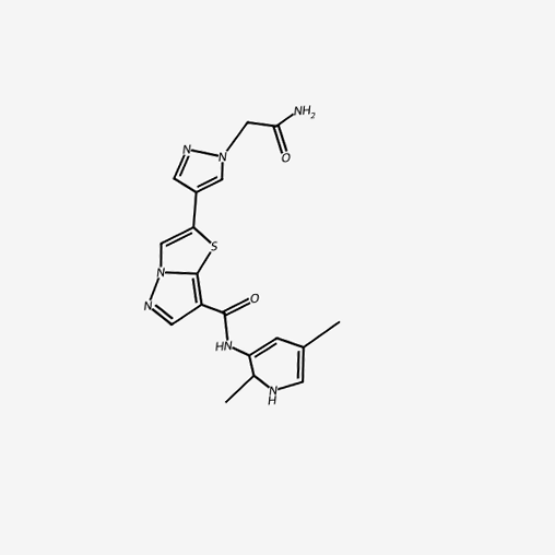 CC1=CNC(C)C(NC(=O)c2cnn3cc(-c4cnn(CC(N)=O)c4)sc23)=C1